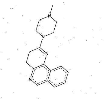 CN1CCN(C2=Nc3c(ncc4ccccc34)CC2)CC1